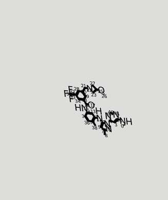 CNc1cc(-n2nc(C)cc2Nc2cc(NC(=O)c3cc(CN4CC(OC)C4)cc(C(F)(F)F)c3)ccc2C)ncn1